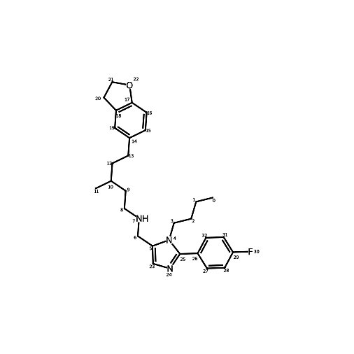 CCCCn1c(CNCCC(C)CCc2ccc3c(c2)CCO3)cnc1-c1ccc(F)cc1